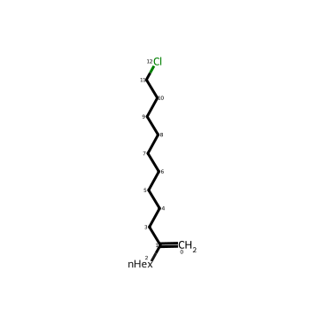 C=C(CCCCCC)CCCCCCCCCCl